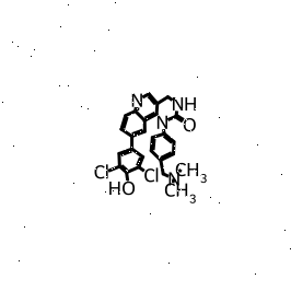 CN(C)Cc1ccc(N2C(=O)NCc3cnc4ccc(-c5cc(Cl)c(O)c(Cl)c5)cc4c32)cc1